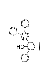 CC(C)(C)c1cc(-c2ccccc2)c(O)c(-c2nc(-c3ccccc3)c(-c3ccccc3)s2)c1